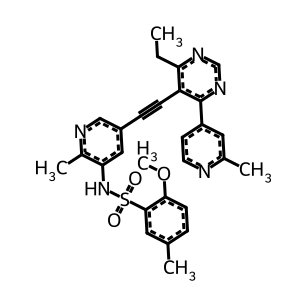 CCc1ncnc(-c2ccnc(C)c2)c1C#Cc1cnc(C)c(NS(=O)(=O)c2cc(C)ccc2OC)c1